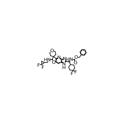 O=C(N[C@H](c1nc2nc(C3(C(=O)NCC4CC4(F)F)CCOCC3)ccc2[nH]1)C1CCC(F)(F)CC1)OCc1ccccc1